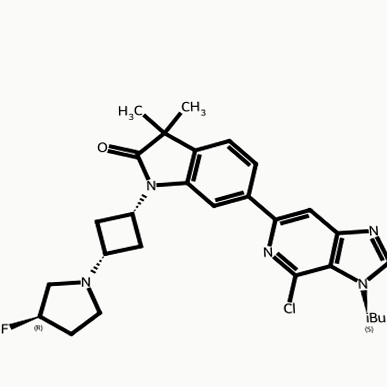 CC[C@H](C)n1cnc2cc(-c3ccc4c(c3)N([C@H]3C[C@@H](N5CC[C@@H](F)C5)C3)C(=O)C4(C)C)nc(Cl)c21